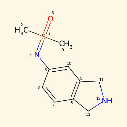 CS(C)(=O)=Nc1ccc2c(c1)CNC2